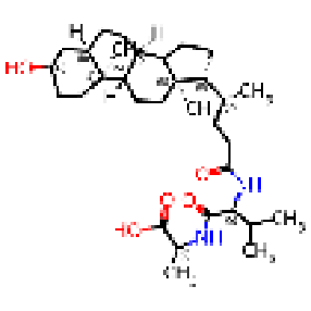 CC(C)[C@H](NC(=O)CC[C@@H](C)[C@H]1CCC2[C@@H]3CC[C@@H]4C[C@H](O)CC[C@]4(C)[C@H]3CC[C@@]21C)C(=O)N[C@@H](C)C(=O)O